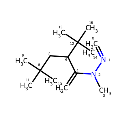 C=NN(C)C(=C)C(CC(C)(C)C)C(C)(C)C